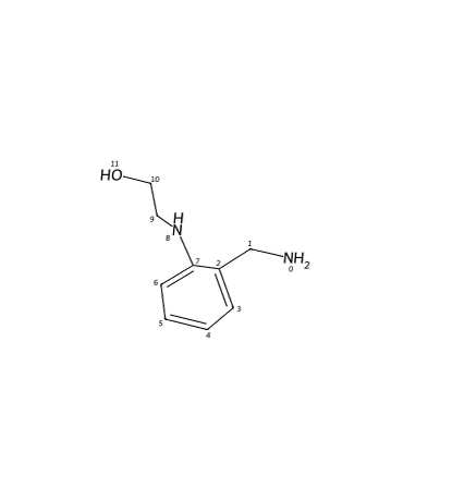 NCc1ccccc1NCCO